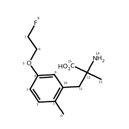 Cc1ccc(OCCF)cc1CC(C)(N)C(=O)O